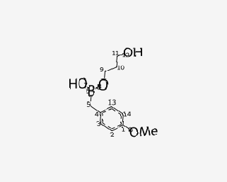 COc1ccc(CB(O)OCCCO)cc1